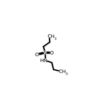 CCCNS(=O)(=O)CCC